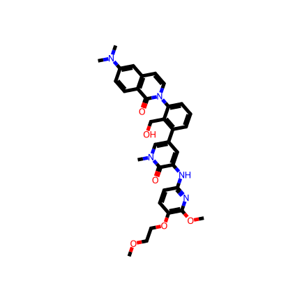 COCCOc1ccc(Nc2cc(-c3cccc(-n4ccc5cc(N(C)C)ccc5c4=O)c3CO)cn(C)c2=O)nc1OC